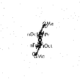 CCCCCCCCC(OC(=O)C1CCC(C(=O)OC(CCCCCCCC)C(CCCCCCCC(=O)OC)OC(=O)CCC)CC1)C(CCCCCCCC(=O)OC)OC(=O)CCC